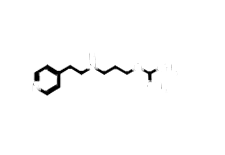 CC(C)OCCCNCCc1ccncc1